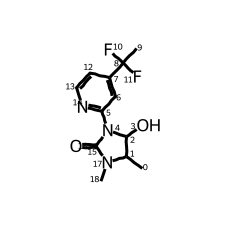 CC1C(O)N(c2cc(C(C)(F)F)ccn2)C(=O)N1C